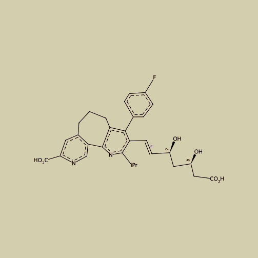 CC(C)c1nc2c(c(-c3ccc(F)cc3)c1/C=C/[C@@H](O)C[C@@H](O)CC(=O)O)CCCc1cc(C(=O)O)ncc1-2